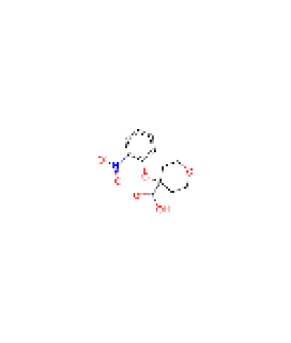 O=C(O)C1(Oc2ccccc2[N+](=O)[O-])CCOCC1